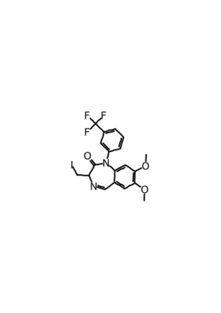 COc1cc2c(cc1OC)N(c1cccc(C(F)(F)F)c1)C(=O)C(CI)N=C2